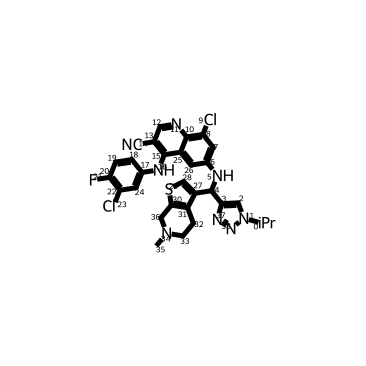 CC(C)n1cc(C(Nc2cc(Cl)c3ncc(C#N)c(Nc4ccc(F)c(Cl)c4)c3c2)c2csc3c2CCN(C)C3)nn1